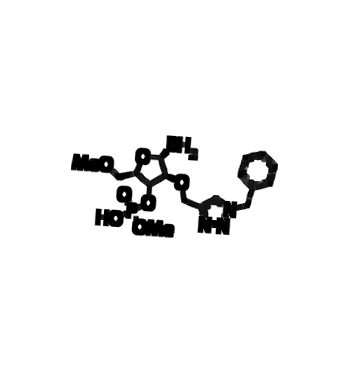 B[C@@H]1O[C@H](COC)C(OP(=O)(O)OC)[C@@H]1OCc1cn(Cc2ccccc2)nn1